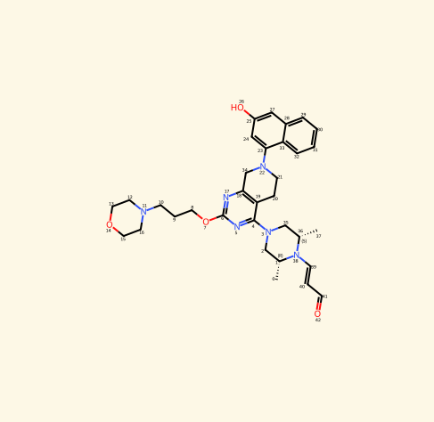 C[C@@H]1CN(c2nc(OCCCN3CCOCC3)nc3c2CCN(c2cc(O)cc4ccccc24)C3)C[C@H](C)N1C=CC=O